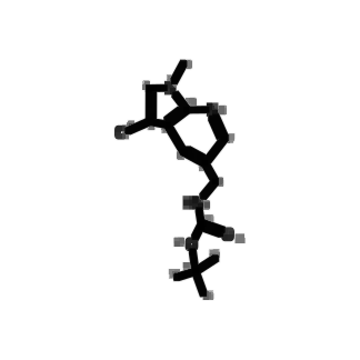 Cn1cc(Cl)c2cc(CNC(=O)OC(C)(C)C)cnc21